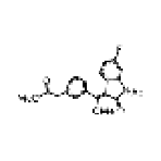 COC(=O)Cc1cccc(C(OC)=C2C(=O)N(C(C)=O)c3cc(F)ccc32)c1